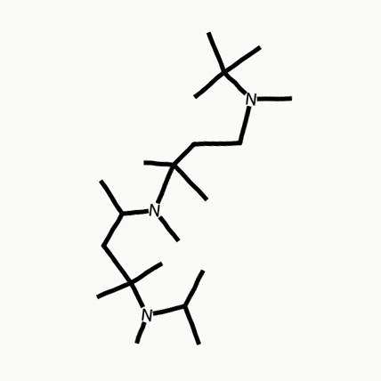 CC(C)N(C)C(C)(C)CC(C)N(C)C(C)(C)CCN(C)C(C)(C)C